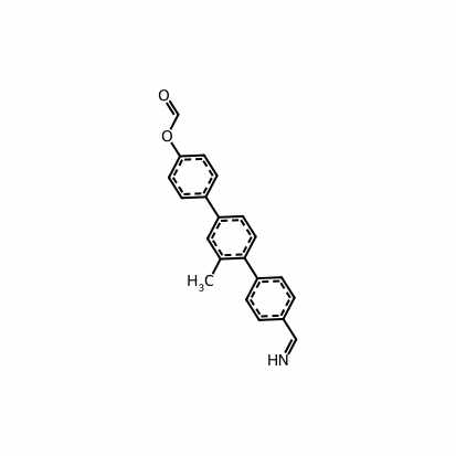 Cc1cc(-c2ccc(OC=O)cc2)ccc1-c1ccc(C=N)cc1